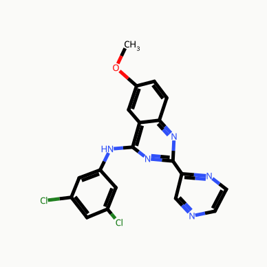 COc1ccc2nc(-c3cnccn3)nc(Nc3cc(Cl)cc(Cl)c3)c2c1